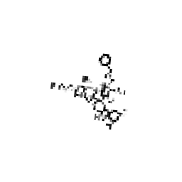 CCOC(=O)C1=NN=C([C@@H](NC(=O)[C@]2(NC(=O)[C@@H](NC(=O)OCc3ccccc3)C(C)CC)CCc3[nH]c4c(Cl)cc(Cl)cc4c3C2)C(C)CC)C1